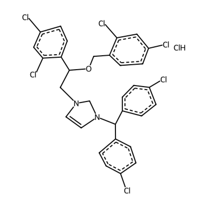 Cl.Clc1ccc(C(c2ccc(Cl)cc2)N2C=CN(CC(OCc3ccc(Cl)cc3Cl)c3ccc(Cl)cc3Cl)C2)cc1